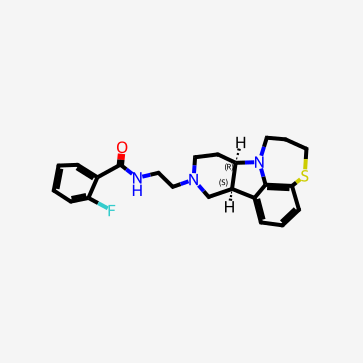 O=C(NCCN1CC[C@@H]2[C@H](C1)c1cccc3c1N2CCCS3)c1ccccc1F